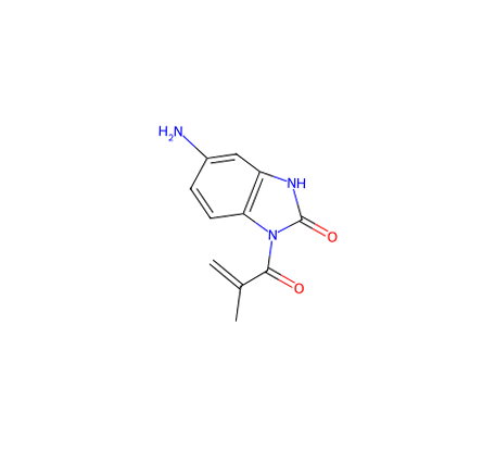 C=C(C)C(=O)n1c(=O)[nH]c2cc(N)ccc21